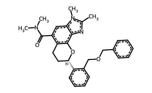 Cc1nc2c3c(c(C(=O)N(C)C)cc2n1C)CC[C@@H](c1ccccc1COCc1ccccc1)O3